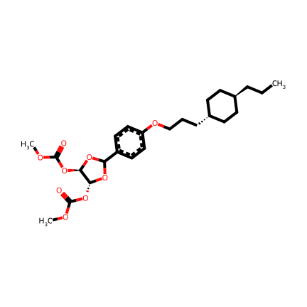 CCC[C@H]1CC[C@H](CCCOc2ccc(C3O[C@H](OC(=O)OC)[C@@H](OC(=O)OC)O3)cc2)CC1